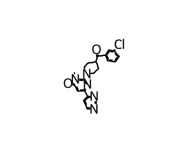 Cn1c(N2CCC(C(=O)c3cccc(Cl)c3)CC2)nc(-c2ccncn2)cc1=O